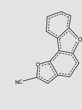 N#Cc1cc2ccc3oc4ccccc4c3c2o1